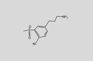 CS(=O)(=O)c1cc(CCCN)ccc1C#N